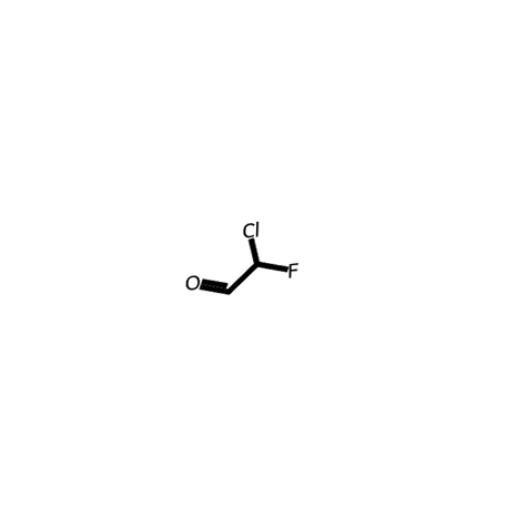 O=CC(F)Cl